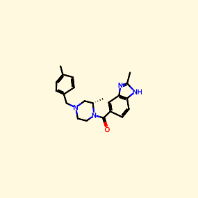 Cc1ccc(CN2CCN(C(=O)c3ccc4[nH]c(C)nc4c3)[C@@H](C)C2)cc1